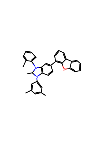 Cc1cc(C)cc(N2c3ccc(-c4cccc5c4oc4ccccc45)cc3N(c3ccccc3C)C2C)c1